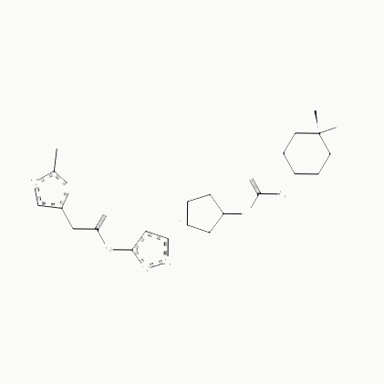 Cc1ncc(CC(=O)Nc2cc([C@@H]3CCC(OC(=O)N[C@H]4CC[C@@](C)(O)CC4)C3)[nH]n2)s1